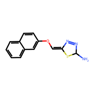 NC1N=NC(=COc2ccc3ccccc3c2)S1